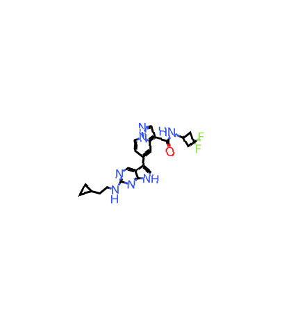 O=C(NC1CC(F)(F)C1)c1cnn2ccc(-c3c[nH]c4nc(NCCC5CC5)ncc34)cc12